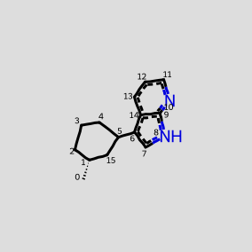 C[C@@H]1CCCC(c2c[nH]c3ncccc23)C1